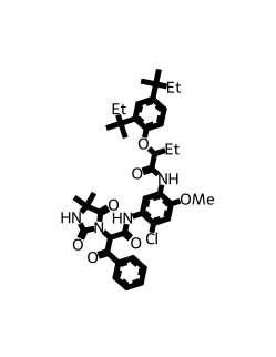 CCC(Oc1ccc(C(C)(C)CC)cc1C(C)(C)CC)C(=O)Nc1cc(NC(=O)C(C(=O)c2ccccc2)N2C(=O)NC(C)(C)C2=O)c(Cl)cc1OC